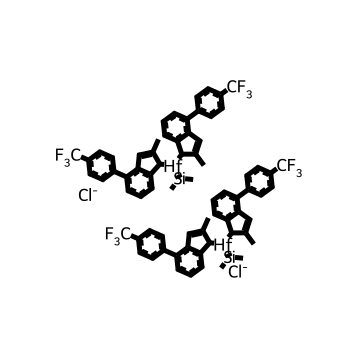 CC1=Cc2c(-c3ccc(C(F)(F)F)cc3)cccc2[CH]1[Hf]([CH]1C(C)=Cc2c(-c3ccc(C(F)(F)F)cc3)cccc21)=[Si](C)C.CC1=Cc2c(-c3ccc(C(F)(F)F)cc3)cccc2[CH]1[Hf]([CH]1C(C)=Cc2c(-c3ccc(C(F)(F)F)cc3)cccc21)=[Si](C)C.[Cl-].[Cl-]